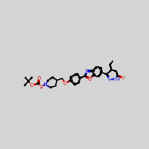 CCC1CC(=O)NN=C1c1ccc2nc(-c3ccc(OCC4CCN(OC(=O)OC(C)(C)C)CC4)cc3)oc2c1